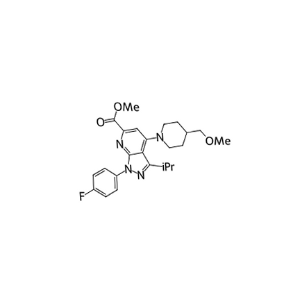 COCC1CCN(c2cc(C(=O)OC)nc3c2c(C(C)C)nn3-c2ccc(F)cc2)CC1